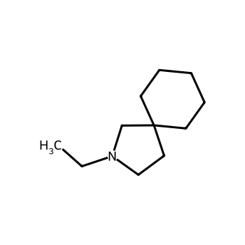 CCN1CCC2(CCCCC2)C1